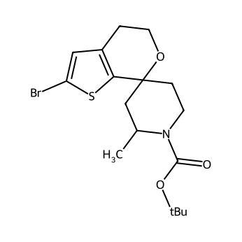 CC1CC2(CCN1C(=O)OC(C)(C)C)OCCc1cc(Br)sc12